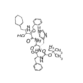 CC(C)(C)OC(=O)N[C@@H](Cc1ccccc1)C(=O)N[C@@H](Cc1c[nH]cn1)C(=O)NC(=O)C(OCc1ccccc1)C(O)C(N)CC1CCCCC1